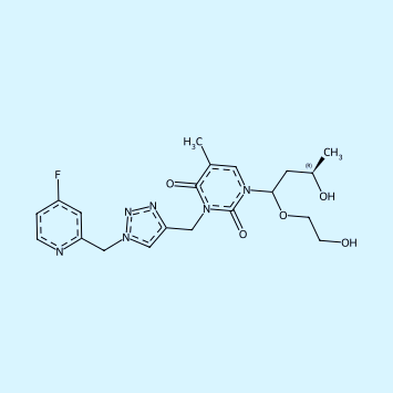 Cc1cn(C(C[C@@H](C)O)OCCO)c(=O)n(Cc2cn(Cc3cc(F)ccn3)nn2)c1=O